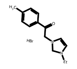 Br.CCN1C=CN(CC(=O)c2ccc(C)cc2)C1